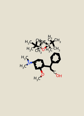 CC(C)(C)[Si](C)(C)O[Si](C)(C)C(C)(C)C.COc1cc(N(C)C)ccc1C(CCO)c1ccccc1